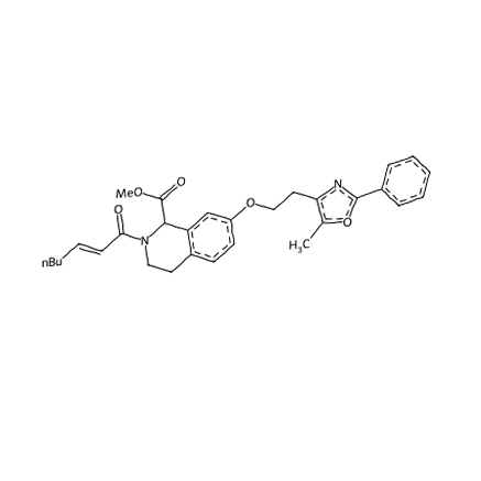 CCCCC=CC(=O)N1CCc2ccc(OCCc3nc(-c4ccccc4)oc3C)cc2C1C(=O)OC